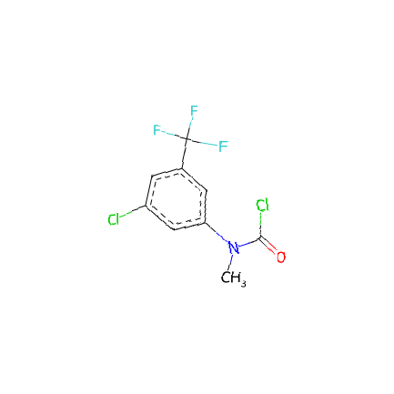 CN(C(=O)Cl)c1cc(Cl)cc(C(F)(F)F)c1